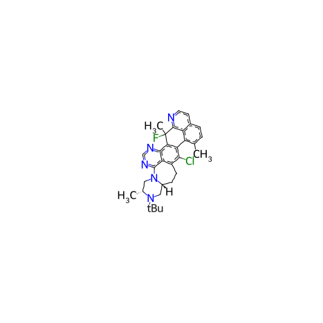 Cc1ccc2ccnc3c2c1-c1c(Cl)c2c4c(ncnc4c1C3(C)F)N1C[C@@H](C)N(C(C)(C)C)C[C@H]1CC2